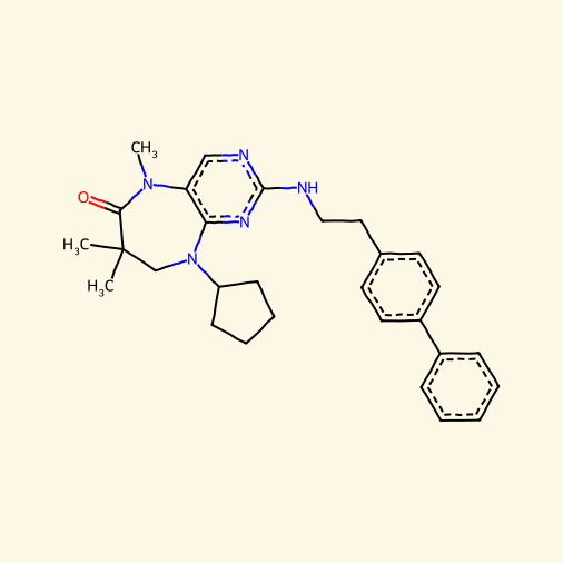 CN1C(=O)C(C)(C)CN(C2CCCC2)c2nc(NCCc3ccc(-c4ccccc4)cc3)ncc21